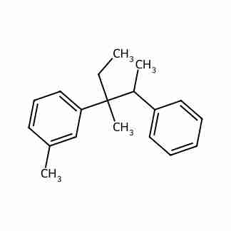 CCC(C)(c1cccc(C)c1)C(C)c1ccccc1